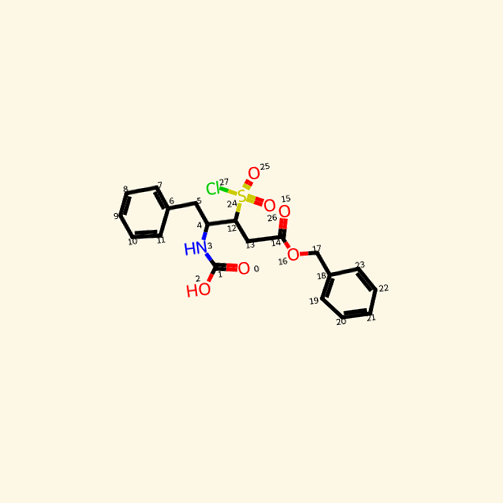 O=C(O)NC(Cc1ccccc1)C(CC(=O)OCc1ccccc1)S(=O)(=O)Cl